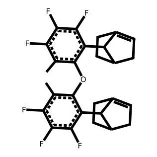 Cc1c(F)c(F)c(F)c(C2C3=CCC2CC3)c1Oc1c(C)c(F)c(F)c(F)c1C1C2=CCC1CC2